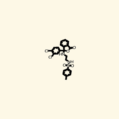 Cc1ccc(S(=O)(=O)NCCNC2(c3ccc(Cl)c(Cl)c3)OC(=O)c3ccccc32)cc1